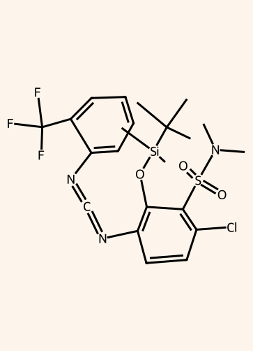 CN(C)S(=O)(=O)c1c(Cl)ccc(N=C=Nc2ccccc2C(F)(F)F)c1O[Si](C)(C)C(C)(C)C